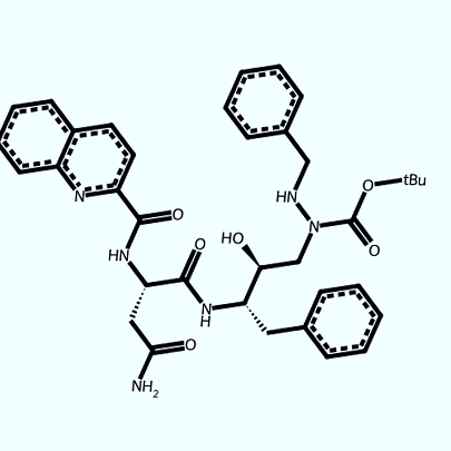 CC(C)(C)OC(=O)N(C[C@H](O)[C@H](Cc1ccccc1)NC(=O)[C@H](CC(N)=O)NC(=O)c1ccc2ccccc2n1)NCc1ccccc1